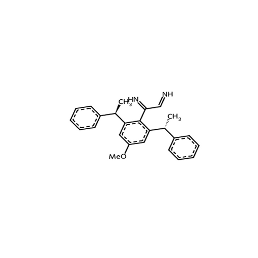 COc1cc([C@H](C)c2ccccc2)c(C(=N)C=N)c([C@H](C)c2ccccc2)c1